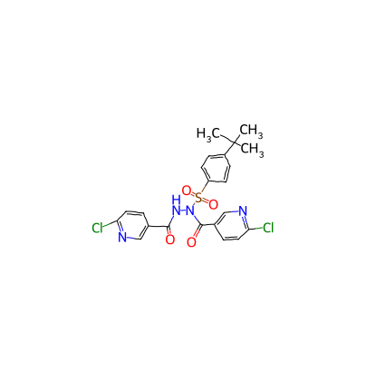 CC(C)(C)c1ccc(S(=O)(=O)N(NC(=O)c2ccc(Cl)nc2)C(=O)c2ccc(Cl)nc2)cc1